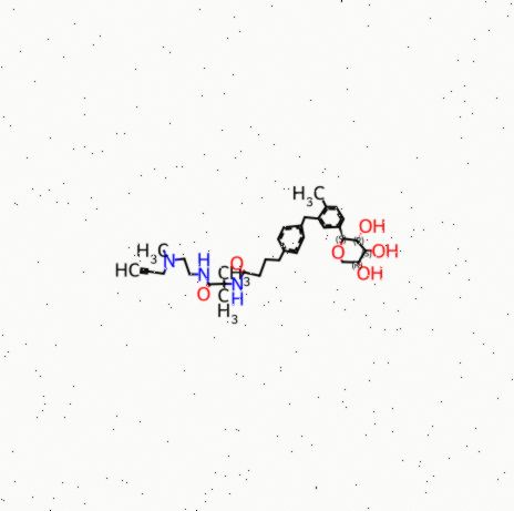 C#CCN(C)CCNC(=O)C(C)(C)NC(=O)CCCc1ccc(Cc2cc([C@@H]3OC[C@@H](O)[C@H](O)[C@H]3O)ccc2C)cc1